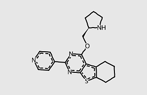 c1cc(-c2nc(OC[C@H]3CCCN3)c3c4c(sc3n2)CCCC4)ccn1